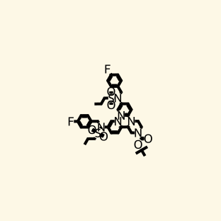 CCCS(=O)(=O)N(Cc1ccc(F)cc1)c1ccc(C2CN(C(=O)OC(C)(C)C)CCN2c2ccc(N(Cc3ccc(F)cc3)S(=O)(=O)CCC)cn2)nc1